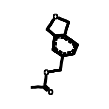 CC(=O)OCc1ccc2c(c1)COC2